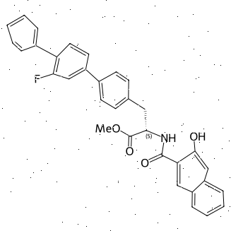 COC(=O)[C@H](Cc1ccc(-c2ccc(-c3ccccc3)c(F)c2)cc1)NC(=O)c1cc2ccccc2cc1O